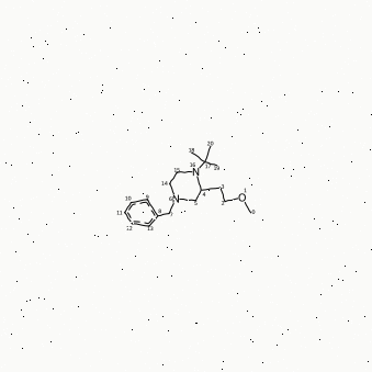 COCCC1CN(Cc2ccccc2)CCN1C(C)(C)C